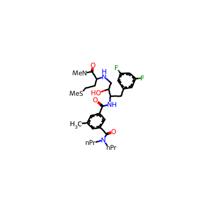 CCCN(CCC)C(=O)c1cc(C)cc(C(=O)NC(Cc2cc(F)cc(F)c2)C(O)CNC(CCSC)C(=O)NC)c1